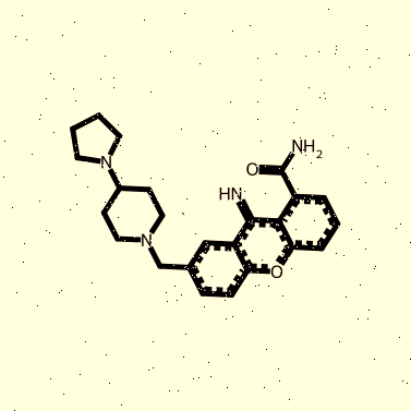 N=c1c2cc(CN3CCC(N4CCCC4)CC3)ccc2oc2cccc(C(N)=O)c12